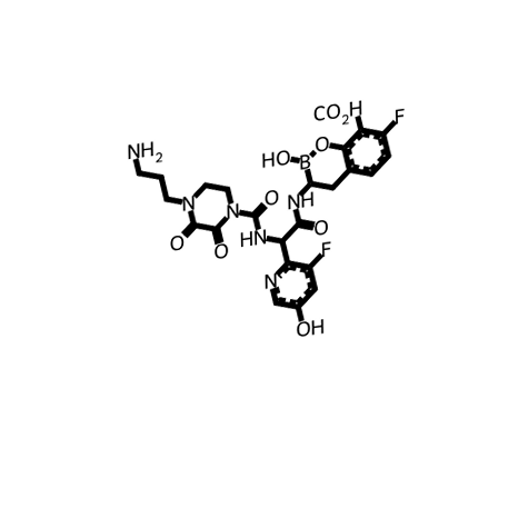 NCCCN1CCN(C(=O)NC(C(=O)NC2Cc3ccc(F)c(C(=O)O)c3OB2O)c2ncc(O)cc2F)C(=O)C1=O